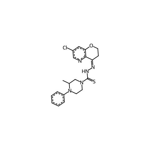 CC1CN(C(=S)N/N=C2/CCOc3cc(Cl)cnc32)CCN1c1ccccc1